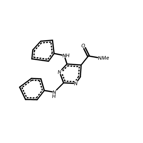 CNC(=O)c1cnc(Nc2ccccc2)nc1Nc1ccccc1